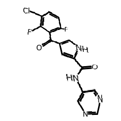 O=C(Nc1cncnc1)c1cc(C(=O)c2c(F)ccc(Cl)c2F)c[nH]1